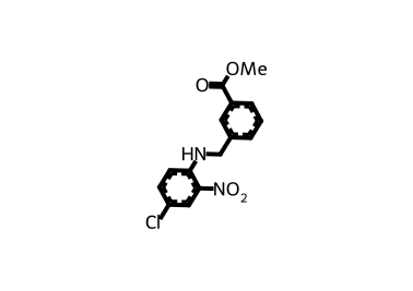 COC(=O)c1cccc(CNc2ccc(Cl)cc2[N+](=O)[O-])c1